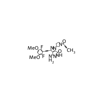 CC#CC(=O)N1CCC(n2nc(C#Cc3c(F)c(OC)cc(OC)c3F)c3c(N)n[nH]c(=O)c32)C1